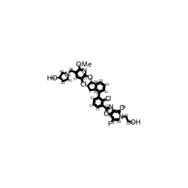 COc1nc(O[C@H]2CCc3c(-c4cccc(-c5nc6c(=O)n(CCO)cc(F)c6o5)c4Cl)cccc32)c(Cl)cc1CN1CC[C@@H](O)C1